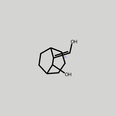 O/C=C1\C2CCCC(CC2)C1O